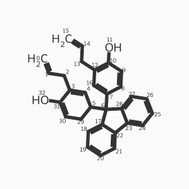 C=CCC1=CC(C2(c3ccc(O)c(CC=C)c3)c3ccccc3-c3ccccc32)CC=C1O